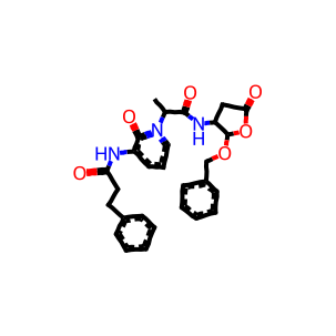 CC(C(=O)NC1CC(=O)OC1OCc1ccccc1)n1cccc(NC(=O)CCc2ccccc2)c1=O